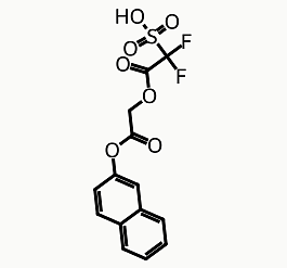 O=C(COC(=O)C(F)(F)S(=O)(=O)O)Oc1ccc2ccccc2c1